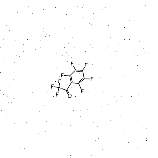 O=C(c1c(F)c(F)c(F)c(F)c1F)C(F)(F)F